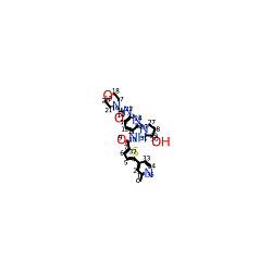 Cc1cc(-c2ccc(C(=O)Nc3cc4oc(N5CCOCC5)nc4nc3N3CCC(O)C3)s2)ccn1